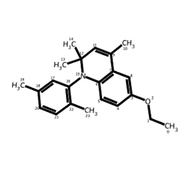 CCOc1ccc2c(c1)C(C)=CC(C)(C)N2c1cc(C)ccc1C